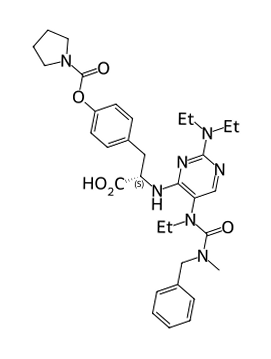 CCN(CC)c1ncc(N(CC)C(=O)N(C)Cc2ccccc2)c(N[C@@H](Cc2ccc(OC(=O)N3CCCC3)cc2)C(=O)O)n1